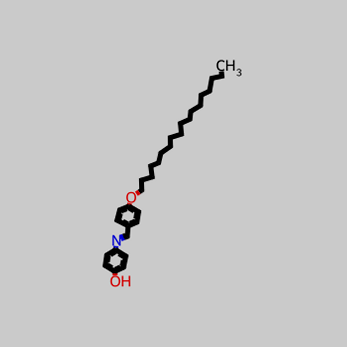 CCCCCCCCCCCCCCCCCCOc1ccc(C=Nc2ccc(O)cc2)cc1